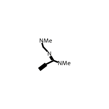 C#C/C(=N\CNC)NC